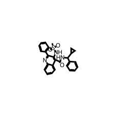 CS(=O)(=O)Nc1c(-c2ccccc2)nc2ccccc2c1C(=O)NC(c1ccccc1)C1CC1